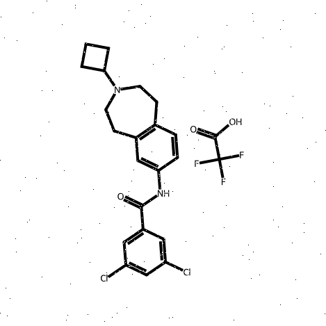 O=C(Nc1ccc2c(c1)CCN(C1CCC1)CC2)c1cc(Cl)cc(Cl)c1.O=C(O)C(F)(F)F